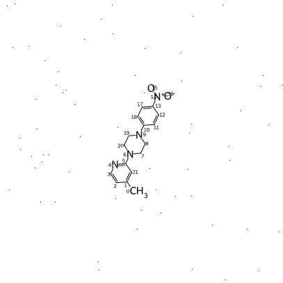 Cc1ccnc(N2CCN(c3ccc([N+](=O)[O-])cc3)CC2)c1